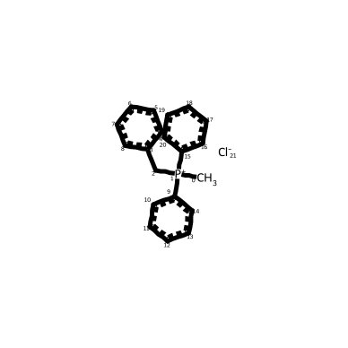 C[P+](Cc1ccccc1)(c1ccccc1)c1ccccc1.[Cl-]